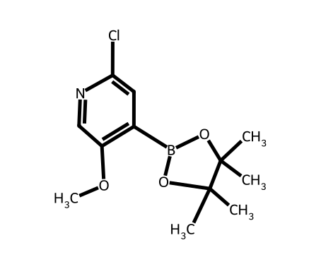 COc1cnc(Cl)cc1B1OC(C)(C)C(C)(C)O1